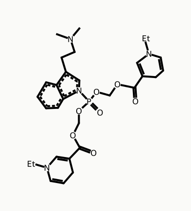 CCN1C=CCC(C(=O)OCOP(=O)(OCOC(=O)C2=CN(CC)C=CC2)n2cc(CCN(C)C)c3ccccc32)=C1